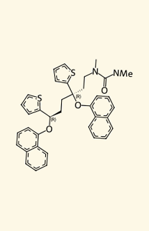 CNC(=O)N(C)CC[C@@](CC[C@@H](Oc1cccc2ccccc12)c1cccs1)(Oc1cccc2ccccc12)c1cccs1